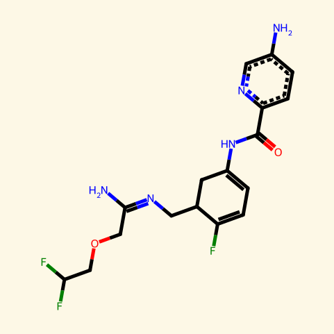 N/C(COCC(F)F)=N/CC1CC(NC(=O)c2ccc(N)cn2)=CC=C1F